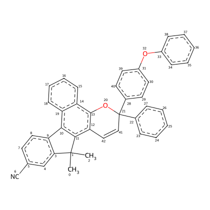 CC1(C)c2cc(C#N)ccc2-c2c1c1c(c3ccccc23)OC(c2ccccc2)(c2ccc(Oc3ccccc3)cc2)C=C1